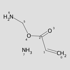 C=CC(=O)OCN.N